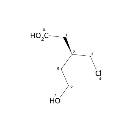 O=C(O)C[C@@H](CCl)CCO